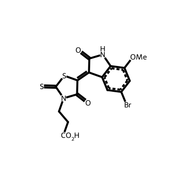 COc1cc(Br)cc2c1NC(=O)/C2=C1\SC(=S)N(CCC(=O)O)C1=O